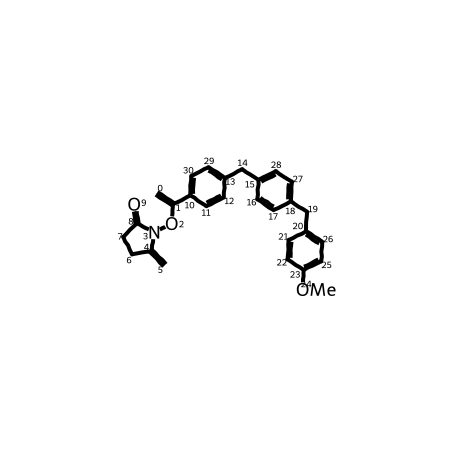 C=C(ON1C(=C)CCC1=O)c1ccc(Cc2ccc(Cc3ccc(OC)cc3)cc2)cc1